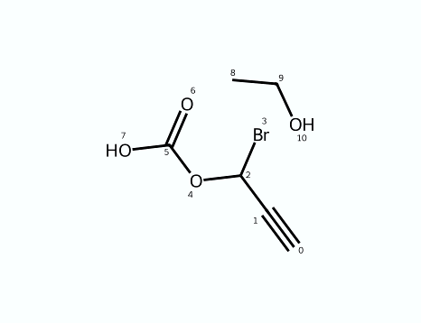 C#CC(Br)OC(=O)O.CCO